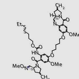 C=C1C[C@H]2C=Nc3cc(OCCCCCOc4cc(NC(=O)OCCCSSCC)c(C(=O)N5CC(=C)C[C@H]5/C=N/OC)cc4OC)c(OC)cc3C(=O)N2C1